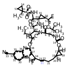 CC[C@@H]1[C@@H]2CN(C(=O)[C@H](C(C)(C)C)NC(=O)O[C@@H]3C[C@H]3CC/C=C/C(F)(F)c3nc4ccc(C#N)cc4nc3O2)[C@@H]1C(=O)N[C@]1(C(=O)NS(=O)(=O)C2(C)CC2)C[C@H]1C(F)F